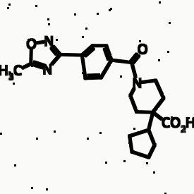 Cc1nc(-c2ccc(C(=O)N3CCC(C(=O)O)(C4CCCC4)CC3)cc2)no1